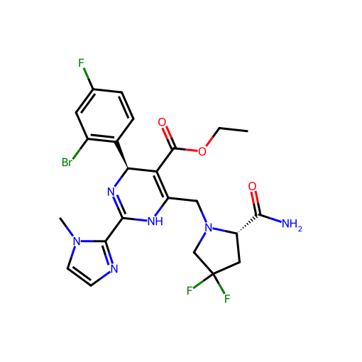 CCOC(=O)C1=C(CN2CC(F)(F)C[C@H]2C(N)=O)NC(c2nccn2C)=N[C@H]1c1ccc(F)cc1Br